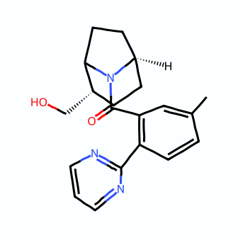 Cc1ccc(-c2ncccn2)c(C(=O)N2C3CC[C@H]2CC[C@@H]3CO)c1